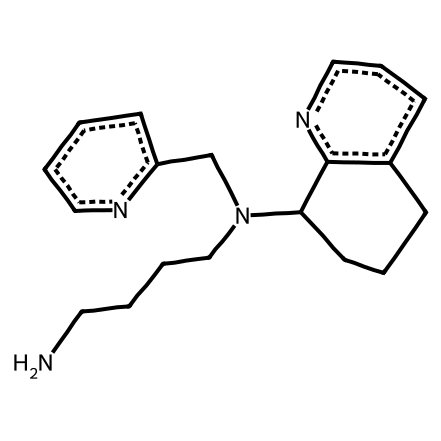 NCCCCN(Cc1ccccn1)C1CCCc2cccnc21